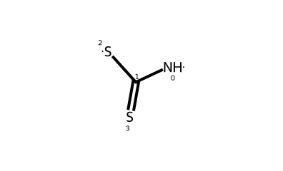 [NH]C([S])=S